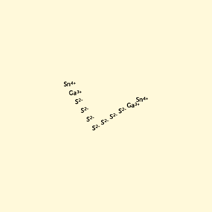 [Ga+3].[Ga+3].[S-2].[S-2].[S-2].[S-2].[S-2].[S-2].[S-2].[Sn+4].[Sn+4]